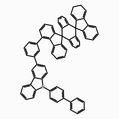 C1=C2C(=CCC1)C1(c3ccccc32)c2ccccc2C2(c3ccccc3-c3c(-c4cccc(-c5ccc6c(c5)c5ccccc5n6-c5ccc(-c6ccccc6)cc5)c4)cccc32)c2ccccc21